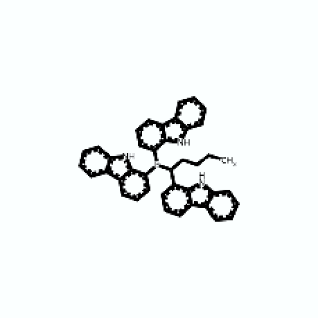 CCCCC(B(c1cccc2c1[nH]c1ccccc12)c1cccc2c1[nH]c1ccccc12)c1cccc2c1[nH]c1ccccc12